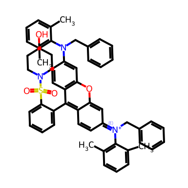 Cc1cccc(C)c1N(Cc1ccccc1)c1ccc2c(-c3ccccc3S(=O)(=O)N3CCC(O)CC3)c3cc/c(=[N+](/Cc4ccccc4)c4c(C)cccc4C)cc-3oc2c1